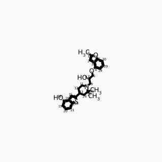 Cc1cc2c(OC[C@@H](O)CN3CCC(c4cc5c(O)cccc5s4)CC3(C)C)cccc2o1